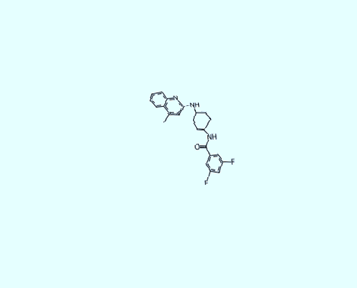 Cc1cc(NC2CCC(NC(=O)c3cc(F)cc(F)c3)CC2)nc2ccccc12